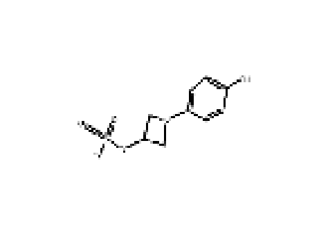 CCS(=O)(=O)OC1CN(c2ccc(C#N)cc2)C1